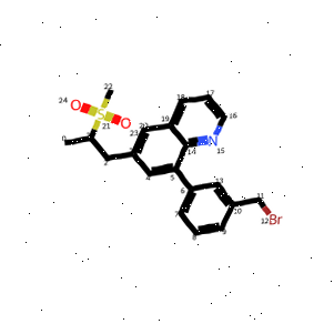 CC(Cc1cc(-c2cccc(CBr)c2)c2ncccc2c1)S(C)(=O)=O